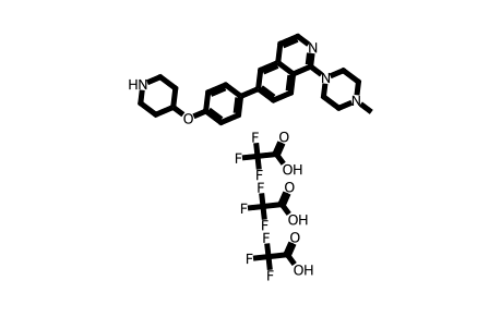 CN1CCN(c2nccc3cc(-c4ccc(OC5CCNCC5)cc4)ccc23)CC1.O=C(O)C(F)(F)F.O=C(O)C(F)(F)F.O=C(O)C(F)(F)F